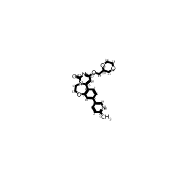 Cc1ccc(-c2ccc3c(c2)OCCn2c-3cc(OCC3COCCO3)nc2=O)cn1